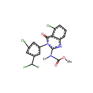 CCN(C(=O)OC(C)(C)C)c1nc2cccc(Cl)c2c(=O)n1-c1cc(Cl)cc(C(F)F)c1